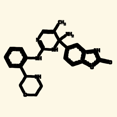 CC1=CN=C(Nc2ccccc2C2COCCN2)NC1(N)c1ccc2oc(=O)[nH]c2c1